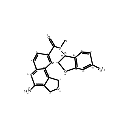 CN(C(=O)c1ccc2nc(N)c3c(c2c1)COC3)[C@H]1COc2cc([N+](=O)[O-])ccc21